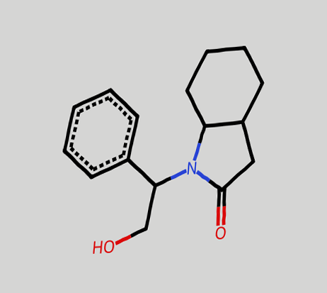 O=C1CC2CCCCC2N1C(CO)c1ccccc1